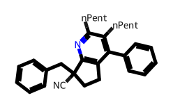 CCCCCc1nc2c(c(-c3ccccc3)c1CCCCC)CCC2(C#N)Cc1ccccc1